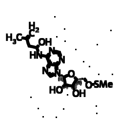 C=C(C)CC(O)Nc1ncnc2c1ncn2[C@@H]1O[C@H](COSC)[C@@H](O)[C@H]1O